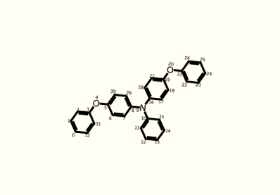 c1ccc(Oc2ccc(N(c3ccccc3)c3ccc(Oc4ccccc4)cc3)cc2)cc1